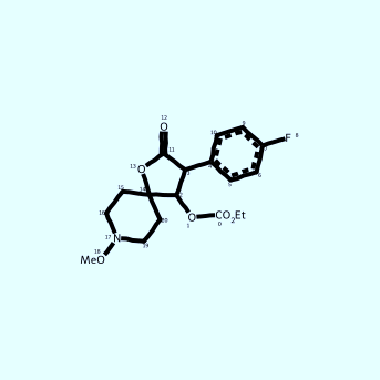 CCOC(=O)OC1C(c2ccc(F)cc2)C(=O)OC12CCN(OC)CC2